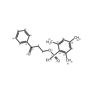 CCP(=O)(OCCC(=O)c1ccccc1)c1c(C)cc(C)cc1C